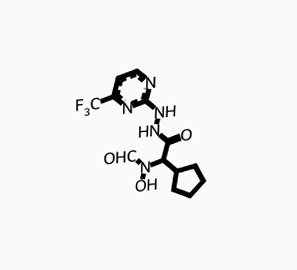 O=CN(O)C(C(=O)NNc1nccc(C(F)(F)F)n1)C1CCCC1